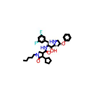 CCCCCN1CC(C(=O)N[C@@H](Cc2cc(F)cc(F)c2)[C@H](O)[C@H]2C[C@@H](Oc3ccccc3)CN2)C(C2CCCC2)C1=O